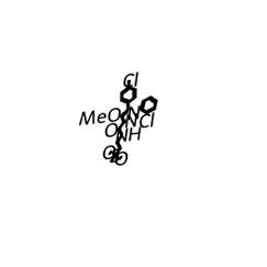 COc1c(C(=O)NCCS(C)(=O)=O)nn(-c2ccccc2Cl)c1-c1ccc(Cl)cc1